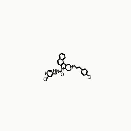 O=C(NCc1ccnc(Cl)c1)n1c2c(c3c4ccccc4ccc31)CN(CC=Cc1ccc(Cl)cc1)CC2